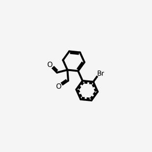 O=CC1(C=O)CC=CC=C1c1ccccc1Br